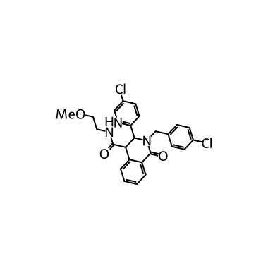 COCCNC(=O)C1c2ccccc2C(=O)N(Cc2ccc(Cl)cc2)C1c1ccc(Cl)cn1